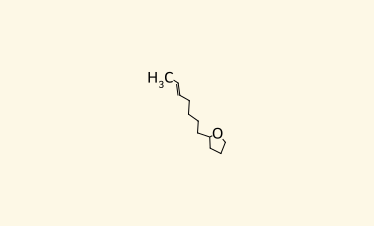 C/C=C/CCCCC1CCCO1